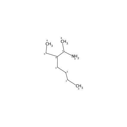 CCCCC(CC)C(C)N